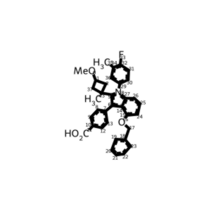 COC1CC(C)(c2c(-c3ccc(C(=O)O)cc3)c3c(OCc4ccccc4)cccc3n2-c2ccc(F)c(C)c2)C1